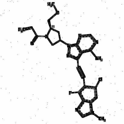 C=CC(=O)N1CC(n2nc(C#Cc3c(Cl)cc4c(ncn4C)c3F)c3c(N)ncnc32)C[C@@H]1COC